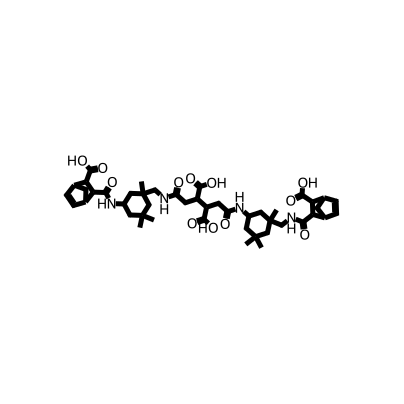 CC1(C)CC(NC(=O)CC(C(=O)O)C(CC(=O)NCC2(C)CC(NC(=O)C3C4C=CC(C4)C3C(=O)O)CC(C)(C)C2)C(=O)O)CC(C)(CNC(=O)C2C3C=CC(C3)C2C(=O)O)C1